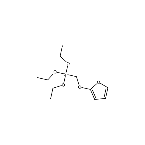 CCO[Si](COc1ccco1)(OCC)OCC